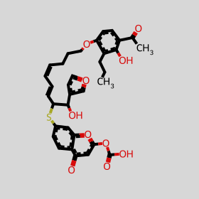 CCCc1c(OCCC/C=C\C=C\C(Sc2ccc3c(=O)cc(OC(=O)O)oc3c2)C(O)c2ccoc2)ccc(C(C)=O)c1O